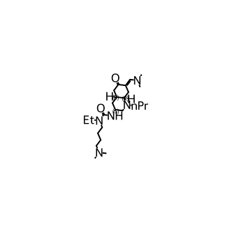 CCCN1C[C@@H](NC(=O)N(CC)CCCCN(C)C)C[C@@H]2CC(=O)C(=CN(C)C)C[C@H]21